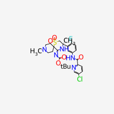 CN1CCC2(CC1)C(=NC(=O)OC(C)(C)C)N[C@](C)(c1cc(NC(=O)c3ccc(Cl)cn3)ccc1F)CS2(=O)=O